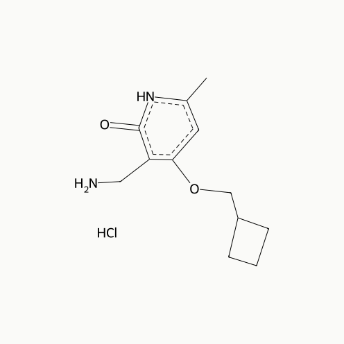 Cc1cc(OCC2CCC2)c(CN)c(=O)[nH]1.Cl